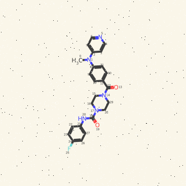 CN(c1ccncc1)c1ccc(C(=O)N2CCN(C(=O)Nc3ccc(F)cc3)CC2)cc1